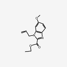 C=CCn1c(C(=O)OCC)nc2ccc(OC)cc21